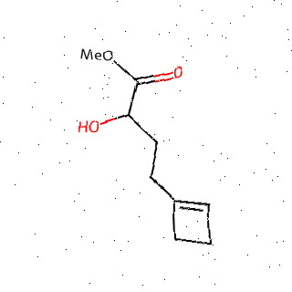 COC(=O)C(O)CCC1=CCC1